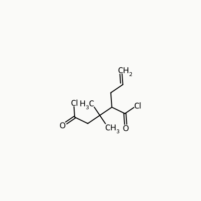 C=CCC(C(=O)Cl)C(C)(C)CC(=O)Cl